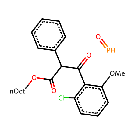 CCCCCCCCOC(=O)C(C(=O)c1c(Cl)cccc1OC)c1ccccc1.O=P